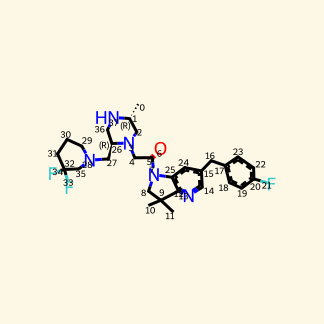 C[C@@H]1CN(CC(=O)N2CC(C)(C)c3ncc(Cc4ccc(F)cc4)cc32)[C@@H](CN2CCCC(F)(F)C2)CN1